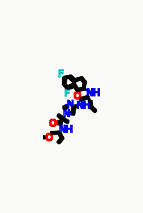 CCC[C@H](N[C@H]1CCc2cc(F)cc(F)c2C1)C(=O)Nc1cn(C(C)(C)C(=O)NC(CC)COC)cn1